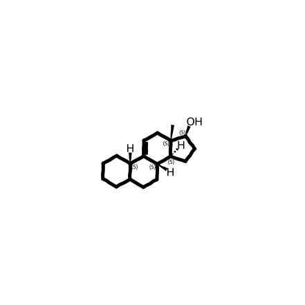 C[C@]12CC=C3[C@H]4CCCCC4CC[C@H]3[C@@H]1CC[C@@H]2O